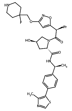 Cc1ncsc1-c1ccc([C@H](C)NC(=O)[C@@H]2C[C@@H](O)CN2C(=O)[C@@H](c2cc(OCC3(F)CCNCC3)no2)C(C)C)cc1